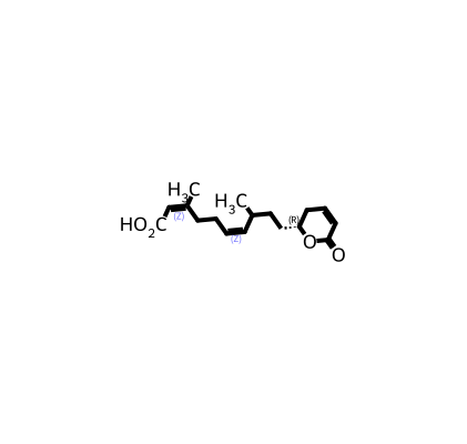 C/C(=C/C(=O)O)CC/C=C\C(C)CC[C@@H]1CC=CC(=O)O1